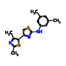 Cc1cc(C)cc(Nc2nc(-c3sc(C)nc3C)cs2)c1